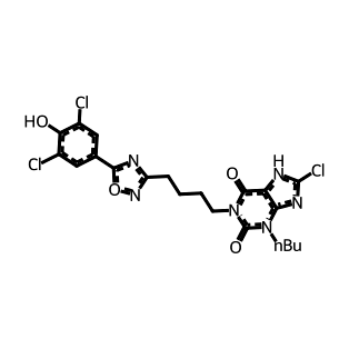 CCCCn1c(=O)n(CCCCc2noc(-c3cc(Cl)c(O)c(Cl)c3)n2)c(=O)c2[nH]c(Cl)nc21